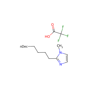 CCCCCCCCCCCCCCc1nccn1C.O=C(O)C(F)(F)F